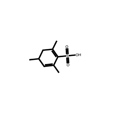 CC1=CC(C)CC(C)=C1S(=O)(=O)O